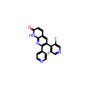 O=c1ccc2cc(-c3c(F)cncc3F)c(-c3ccncc3)nc2[nH]1